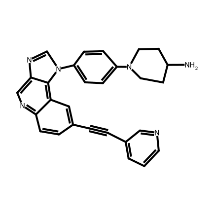 NC1CCN(c2ccc(-n3cnc4cnc5ccc(C#Cc6cccnc6)cc5c43)cc2)CC1